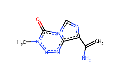 C=C(N)c1ncn2c(=O)n(C)nnc12